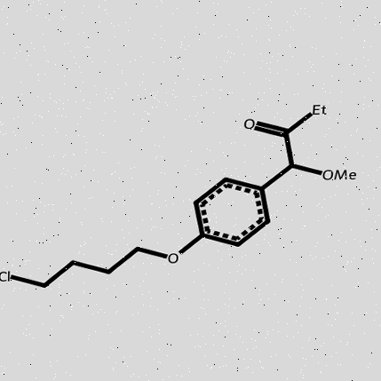 CCC(=O)C(OC)c1ccc(OCCCCCl)cc1